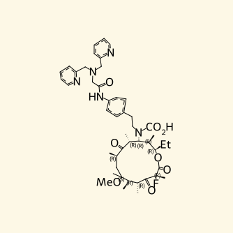 CC[C@H]1OC(=O)[C@](C)(F)C(=O)[C@H](C)[C@@H](C)[C@@](C)(OC)C[C@@H](C)C(=O)[C@H](C)[C@H](N(CCc2ccc(NC(=O)CN(Cc3ccccn3)Cc3ccccn3)cc2)C(=O)O)[C@H]1C